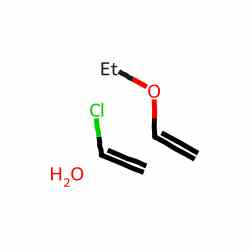 C=CCl.C=COCC.O